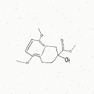 COC(=O)C1(O)CCc2c(OC)ccc(OC)c2C1